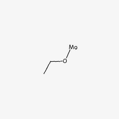 CC[O][Mo]